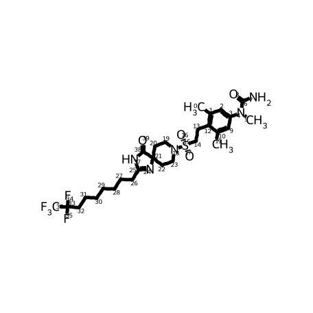 Cc1cc(N(C)C(N)=O)cc(C)c1CCS(=O)(=O)N1CCC2(CC1)N=C(CCCCCCCC(F)(F)C(F)(F)F)NC2=O